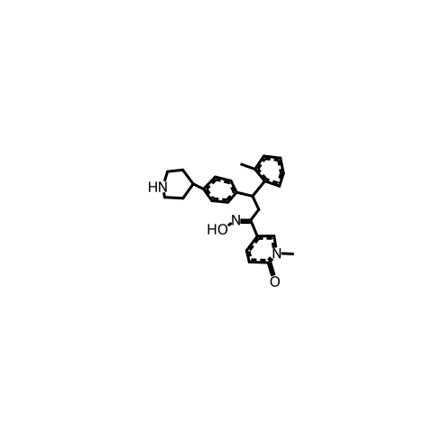 Cc1ccccc1C(CC(=NO)c1ccc(=O)n(C)c1)c1ccc(C2CCNCC2)cc1